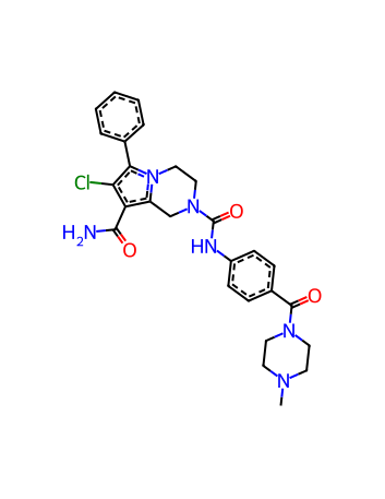 CN1CCN(C(=O)c2ccc(NC(=O)N3CCn4c(c(C(N)=O)c(Cl)c4-c4ccccc4)C3)cc2)CC1